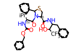 CC(C)[C@H](NC(=O)OCc1ccccc1)C(=O)N1C(c2ccccc2)SC[C@H]1C(=O)NC(Cc1ccccc1)C(O)C(F)(F)F